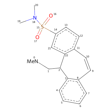 CNCC1c2ccccc2C=Cc2ccc(S(=O)(=O)N(C)C)cc21